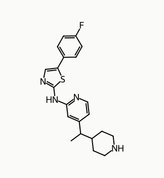 CC(c1ccnc(Nc2ncc(-c3ccc(F)cc3)s2)c1)C1CCNCC1